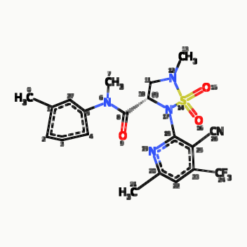 Cc1cccc(N(C)C(=O)[C@@H]2CN(C)S(=O)(=O)N2c2nc(C)cc(C(F)(F)F)c2C#N)c1